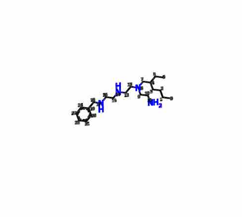 CCCCC(CC)CN(CCN)CCNCCNCc1ccccc1